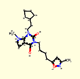 Cc1cc(CCCCn2c(=O)c3ccn(C)c3n(CCC3CCCC3)c2=O)on1